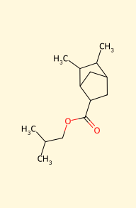 CC(C)COC(=O)C1CC2CC1C(C)C2C